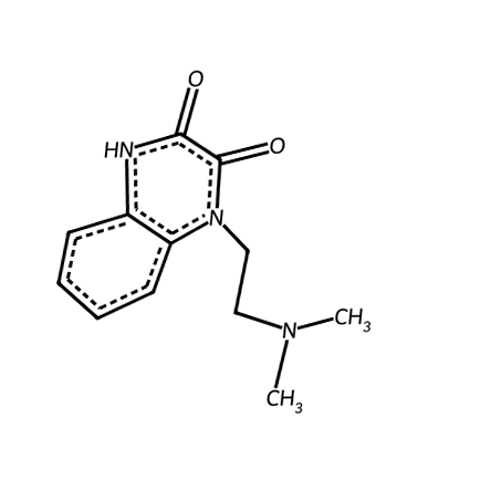 CN(C)CCn1c(=O)c(=O)[nH]c2ccccc21